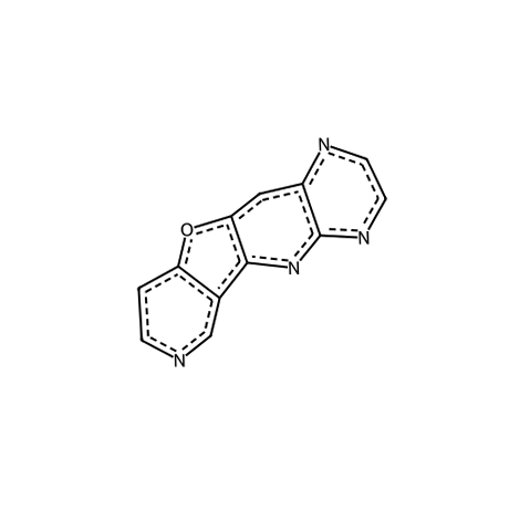 c1cc2oc3cc4nccnc4nc3c2cn1